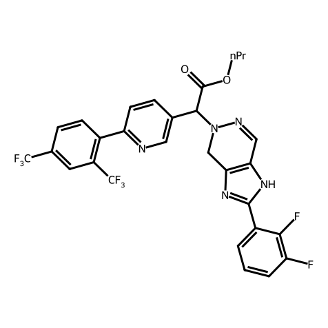 CCCOC(=O)C(c1ccc(-c2ccc(C(F)(F)F)cc2C(F)(F)F)nc1)N1Cc2nc(-c3cccc(F)c3F)[nH]c2C=N1